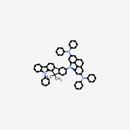 CC1(C)c2ccc(-n3c4cc(N(c5ccccc5)c5ccccc5)cc5ccc6cc(N(c7ccccc7)c7ccccc7)cc3c6c54)cc2-c2ccc3c4ccccc4n(-c4ccccc4)c3c21